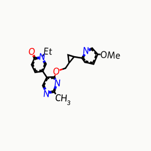 CCn1cc(-c2cnc(C)nc2OCC2CC2c2ccc(OC)cn2)ccc1=O